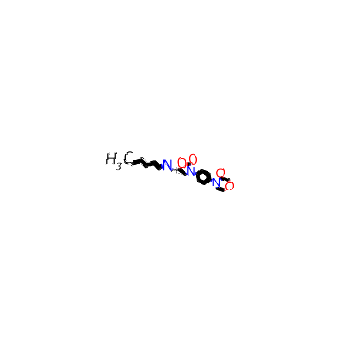 CCCCCC=NC[C@H]1CN(c2ccc(N3CCOCC3=O)cc2)C(=O)O1